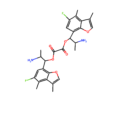 Cc1coc2c(C(OC(=O)C(=O)OC(c3cc(F)c(C)c4c(C)coc34)C(C)N)C(C)N)cc(F)c(C)c12